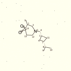 CC1CN(C[C@H]2C[C@@H](C(C)C)C2)CCS1(=O)=O